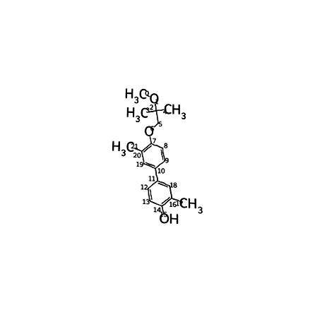 COC(C)(C)COc1ccc(-c2ccc(O)c(C)c2)cc1C